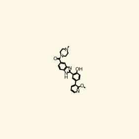 COc1ncccc1-c1ccc(O)c(-c2nc3cc(C(=O)N4CCN(C)CC4)ccc3[nH]2)c1